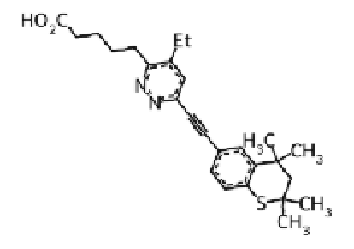 CCc1cc(C#Cc2ccc3c(c2)C(C)(C)CC(C)(C)S3)nnc1CCCCC(=O)O